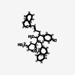 CC(C(C/C=C/c1cccc2ccccc12)c1ccc(Cl)cc1)N(Cc1ccc2ccccc2c1)C(=O)CC(CC(=O)O)C(=O)O